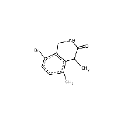 Cc1ccc(Br)c2c1C(C)C(=O)NC2